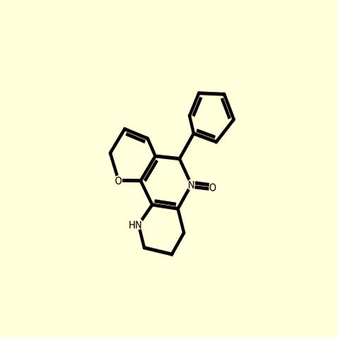 O=[N+]1C2=C(NCCC2)C2=C(C=CCO2)C1c1ccccc1